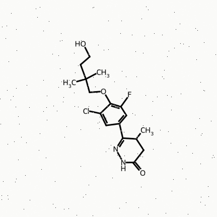 CC1CC(=O)NN=C1c1cc(F)c(OCC(C)(C)CCO)c(Cl)c1